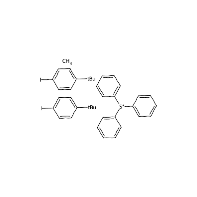 C.CC(C)(C)c1ccc(I)cc1.CC(C)(C)c1ccc(I)cc1.c1ccc([S+](c2ccccc2)c2ccccc2)cc1